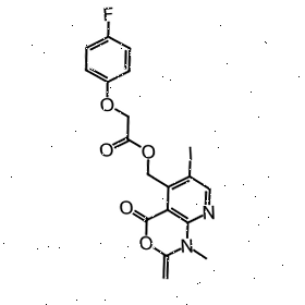 C=C1OC(=O)c2c(ncc(I)c2COC(=O)COc2ccc(F)cc2)N1C